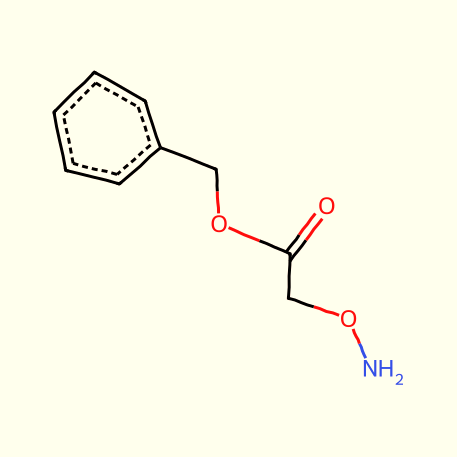 NOCC(=O)OCc1ccccc1